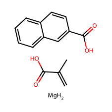 C=C(C)C(=O)O.O=C(O)c1ccc2ccccc2c1.[MgH2]